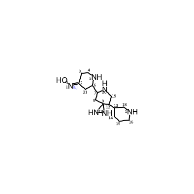 O/N=C1\CCNC(C2CC3(NN3)C(C3CCCNC3)CN2)C1